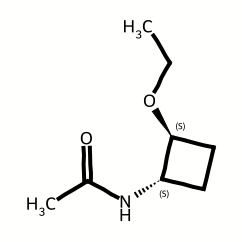 CCO[C@H]1CC[C@@H]1NC(C)=O